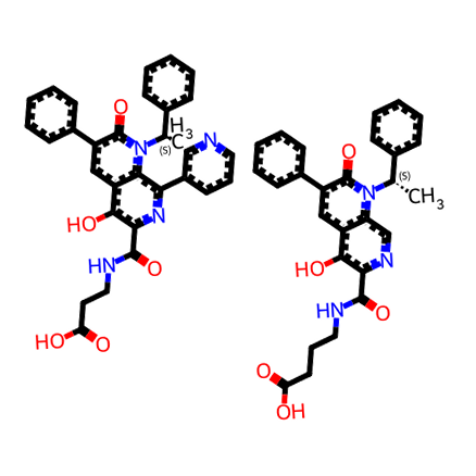 C[C@@H](c1ccccc1)n1c(=O)c(-c2ccccc2)cc2c(O)c(C(=O)NCCC(=O)O)nc(-c3cccnc3)c21.C[C@@H](c1ccccc1)n1c(=O)c(-c2ccccc2)cc2c(O)c(C(=O)NCCCC(=O)O)ncc21